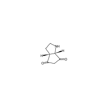 O=C1CC(=O)[C@@H]2CCN[C@H]12